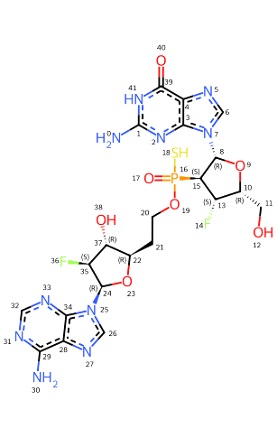 Nc1nc2c(ncn2[C@@H]2O[C@H](CO)[C@H](F)[C@H]2P(=O)(S)OCC[C@H]2O[C@@H](n3cnc4c(N)ncnc43)[C@@H](F)[C@@H]2O)c(=O)[nH]1